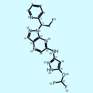 FC[C@H](c1ccccn1)n1ncc2ncc(Nc3cc(OC(F)F)[nH]n3)nc21